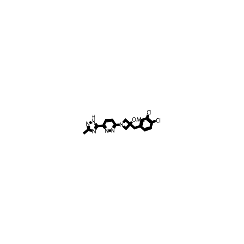 COC1(Cc2ccc(Cl)c(Cl)c2)CN(c2ccc(-c3nc(C)n[nH]3)nn2)C1